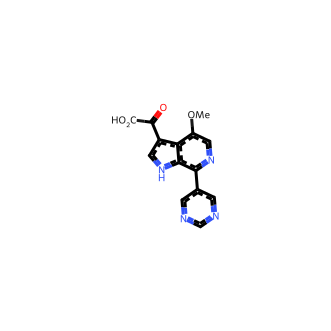 COc1cnc(-c2cncnc2)c2[nH]cc(C(=O)C(=O)O)c12